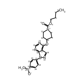 CCCCOC(=O)N1CCC(Oc2ncnc3c2cnn3-c2ccc([S+](C)[O-])cc2)CC1